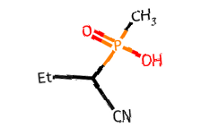 CCC(C#N)P(C)(=O)O